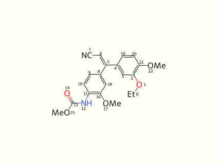 CCOc1cc(C(=CC#N)c2ccc(NC(=O)OC)c(OC)c2)ccc1OC